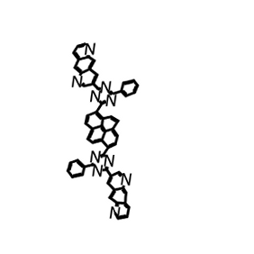 c1ccc(-c2nc(-c3cnc4cc5cccnc5cc4c3)nc(-c3ccc4ccc5c(-c6nc(-c7ccccc7)nc(-c7cnc8cc9cccnc9cc8c7)n6)ccc6ccc3c4c65)n2)cc1